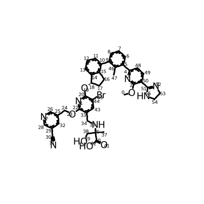 COc1nc(-c2cccc(-c3cccc4c3CC[C@@H]4Oc3nc(OCc4cncc(C#N)c4)c(CN[C@@](C)(CO)C(=O)O)cc3Br)c2C)ccc1C1=NCCN1